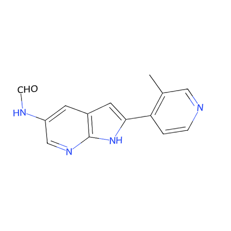 Cc1cnccc1-c1cc2cc(NC=O)cnc2[nH]1